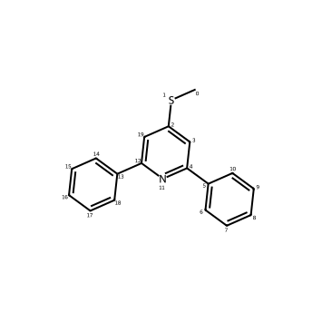 CSc1cc(-c2ccccc2)nc(-c2ccccc2)c1